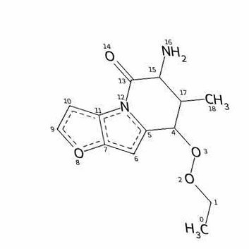 CCOOC1c2cc3occc3n2C(=O)C(N)C1C